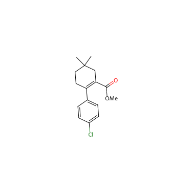 COC(=O)C1=C(c2ccc(Cl)cc2)CCC(C)(C)C1